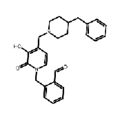 O=Cc1ccccc1Cn1ccc(CN2CCC(Cc3ccccc3)CC2)c(O)c1=O